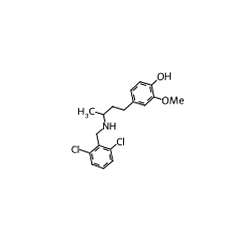 COc1cc(CCC(C)NCc2c(Cl)cccc2Cl)ccc1O